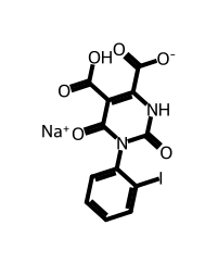 O=C([O-])c1[nH]c(=O)n(-c2ccccc2I)c(=O)c1C(=O)O.[Na+]